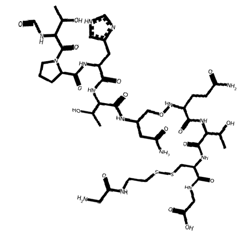 CC(O)C(NC(=O)C(Cc1c[nH]cn1)NC(=O)C1CCCN1C(=O)C(NC=O)C(C)O)C(=O)NC(CONC(CCC(N)=O)C(=O)NC(C(=O)NC(CSSCCNC(=O)CN)C(=O)NCC(=O)O)C(C)O)CC(N)=O